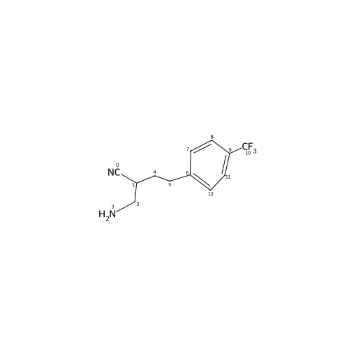 N#CC(CN)CCc1ccc(C(F)(F)F)cc1